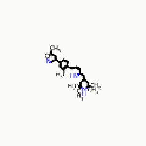 CC/C=C(\C=N/C)c1ccc(C/C=C\C(=N)CC2CC(C)(C)NC(C)(C)C2)c(C)c1